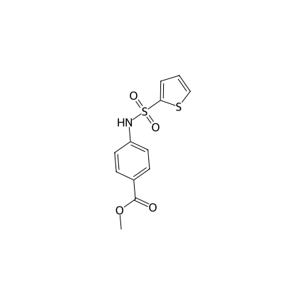 COC(=O)c1ccc(NS(=O)(=O)c2cccs2)cc1